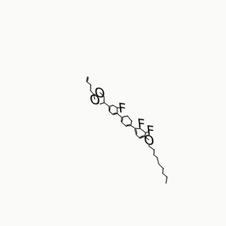 C=CCCC1OCC(C2=CC=C(C3=CC=C(C4=CC=C(OCCCCCCCCC)C(F)C4F)CC3)C(F)C2)CO1